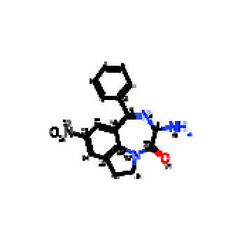 N[C@@H]1N=C(c2ccccc2)c2cc([N+](=O)[O-])cc3c2N(CC3)C1=O